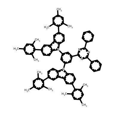 Cc1cc(C)c(-c2ccc3c(c2)c2cc(-c4c(C)cc(C)cc4C)ccc2n3-c2cc(-c3nc(-c4ccccc4)nc(-c4ccccc4)n3)cc(-n3c4ccc(-c5c(C)cc(C)cc5C)cc4c4cc(-c5c(C)cc(C)cc5C)ccc43)c2)c(C)c1